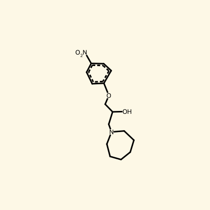 O=[N+]([O-])c1ccc(OCC(O)CN2CCCCCC2)cc1